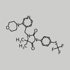 CC1(C)C(=O)N(c2ccc(SC(F)(F)F)cc2)C(=O)N1Cc1ccncc1N1CCOCC1